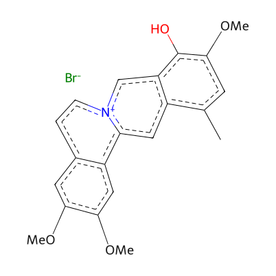 COc1cc2cc[n+]3cc4c(O)c(OC)cc(C)c4cc3c2cc1OC.[Br-]